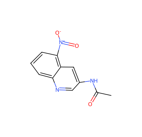 CC(=O)Nc1cnc2cccc([N+](=O)[O-])c2c1